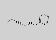 ICC#CCOCc1ccccc1